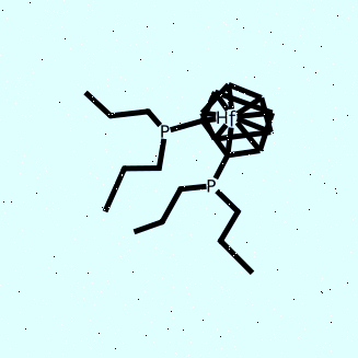 CCCP(CCC)[C]12[CH]3[CH]4[CH]5[C]1(P(CCC)CCC)[Hf]43521678[CH]2[CH]1[CH]6[CH]7[CH]28